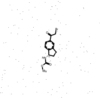 CC(C)(C)OC(=O)N[C@H]1CCc2cc(C(=O)CBr)ccc21